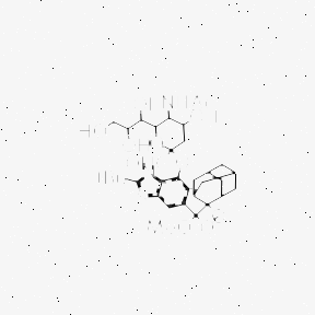 COC1(c2cc(OC3(C=O)CC(O)C(NC(C)=O)C(C(O)C(O)CO)O3)c3nc(C(C)(C)C)sc3c2)OOC12C1CC3CC(C1)CC2C3